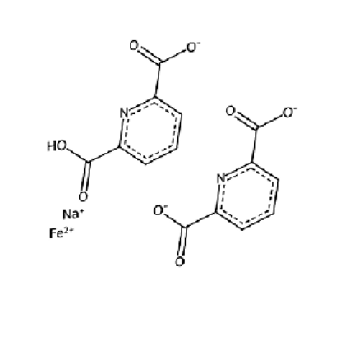 O=C([O-])c1cccc(C(=O)O)n1.O=C([O-])c1cccc(C(=O)[O-])n1.[Fe+2].[Na+]